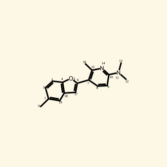 Cc1ccc2oc(-c3ccc(N(C)C)nc3C)cc2c1